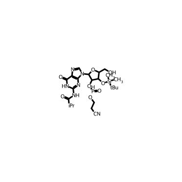 CC(C)C(=O)Nc1nc2c(ncn2C2OC(CO)C(O[Si](C)(C)C(C)(C)C)C2O[PH](=O)OCCC#N)c(=O)[nH]1